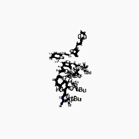 C=C1C[C@H](CCC2OCCO2)O[C@H]1CC[C@H]1CCC(C)[C@@H](C[C@@H]2O[C@H](CC(CO[Si](C)(C)C(C)(C)C)O[Si](C)(C)C(C)(C)C)C(=C)[C@H]2CC(=O)C[C@H]2CC[C@@H]3OC([C@H](/C=C/I)O[Si](C)(C)C(C)(C)C)C(O[Si](C)(C)C(C)(C)C)C(O[Si](C)(C)C(C)(C)C)C3O2)O1